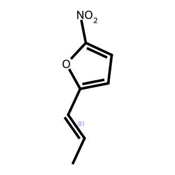 C/C=C/c1ccc([N+](=O)[O-])o1